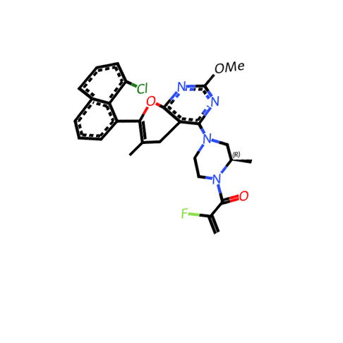 C=C(F)C(=O)N1CCN(c2nc(OC)nc3c2CC(C)=C(c2cccc4cccc(Cl)c24)O3)C[C@H]1C